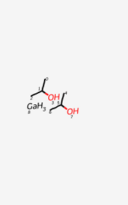 CC(C)O.CC(C)O.[GaH3]